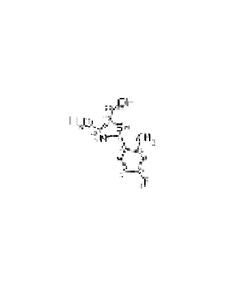 Cc1cc(F)ccc1-c1nc(C)c(CO)s1